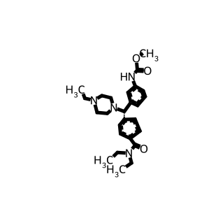 CCN1CCN([C@@H](c2ccc(C(=O)N(CC)CC)cc2)c2cccc(NC(=O)OC)c2)CC1